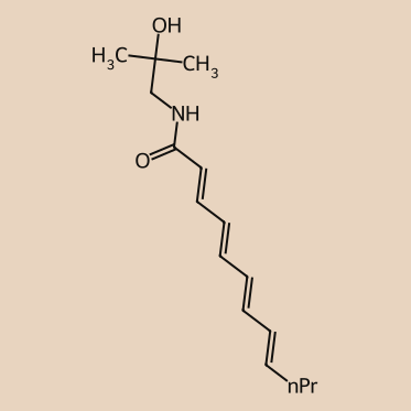 CCC/C=C/C=C/C=C/C=C/C(=O)NCC(C)(C)O